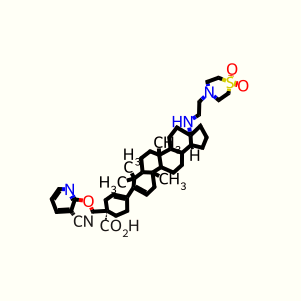 CC1(C)C(C2=CC[C@@](COc3ncccc3C#N)(C(=O)O)CC2)=CCC2(C)C1CCC1(C)C3CCC4(NCCN5CCS(=O)(=O)CC5)CCC[C@@H]4C3CCC12